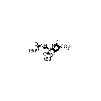 CC(C)(C)OC(=O)NCCN(C(=O)OC(C)(C)C)c1nc(Cl)c(C(=O)O)cc1F